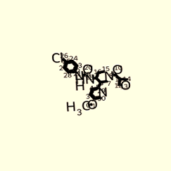 COc1ccc(C2CN(C(=O)C3COC3)CCC2NC(=O)Nc2ccc(Cl)cc2)nc1